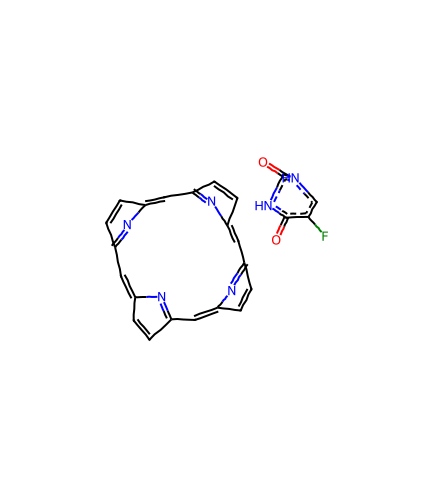 C1=CC2=NC1=CC1=NC(=CC3=NC(=CC4=NC(=C2)C=C4)C=C3)C=C1.O=c1[nH]cc(F)c(=O)[nH]1